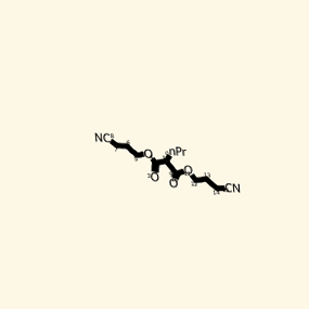 CCCC(C(=O)OCCCC#N)C(=O)OCCCC#N